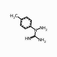 [CH2]c1ccc(N(N)C(=N)N)cc1